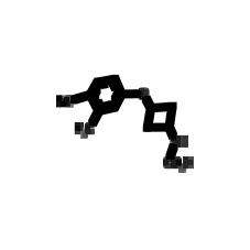 N#Cc1ccc(OC2CC(NC(=O)O)C2)cc1C(F)(F)F